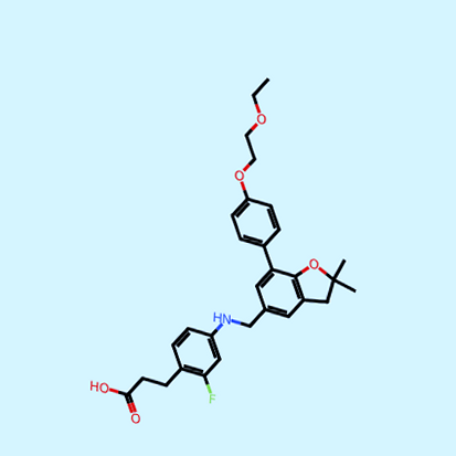 CCOCCOc1ccc(-c2cc(CNc3ccc(CCC(=O)O)c(F)c3)cc3c2OC(C)(C)C3)cc1